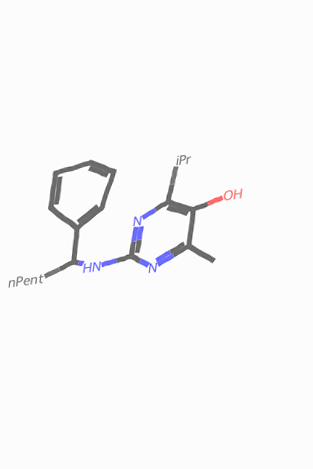 CCCCCC(Nc1nc(C)c(O)c(C(C)C)n1)c1ccccc1